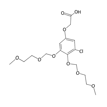 COCCOCOc1cc(OCC(=O)O)cc(Cl)c1OCOCCOC